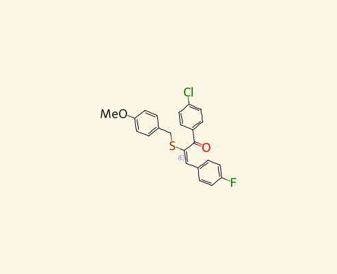 COc1ccc(CS/C(=C/c2ccc(F)cc2)C(=O)c2ccc(Cl)cc2)cc1